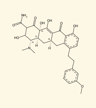 COc1cccc(CCc2ccc(O)c3c2C[C@H]2C[C@H]4[C@H](N(C)C)C(O)C(C(N)=O)C(=O)[C@@]4(O)C(O)=C2C3=O)c1